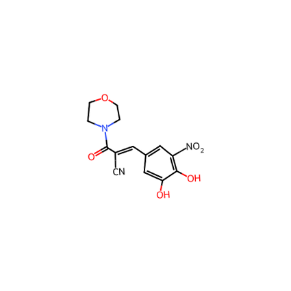 N#C/C(=C\c1cc(O)c(O)c([N+](=O)[O-])c1)C(=O)N1CCOCC1